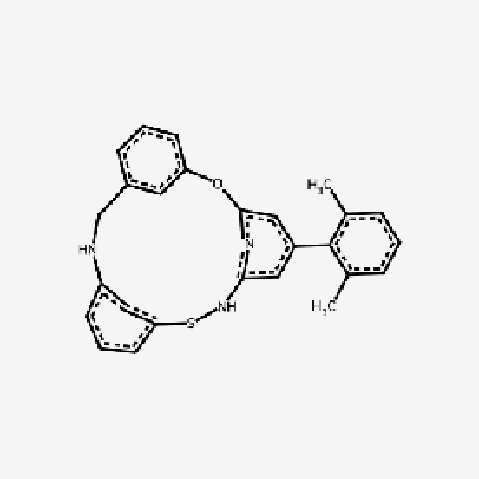 Cc1cccc(C)c1-c1cc2nc(c1)Oc1cccc(c1)CNc1cccc(c1)SN2